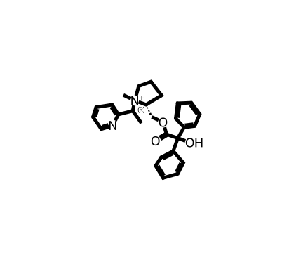 CC(c1ccccn1)[N+]1(C)CCC[C@@H]1COC(=O)C(O)(c1ccccc1)c1ccccc1